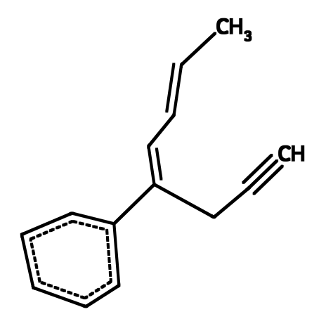 C#CCC(=CC=CC)c1ccccc1